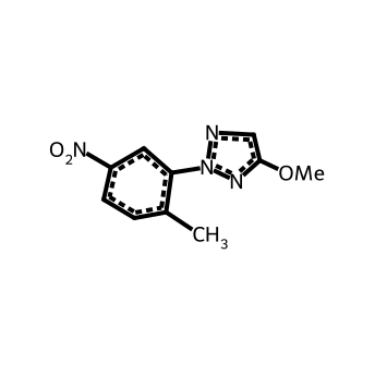 COc1cnn(-c2cc([N+](=O)[O-])ccc2C)n1